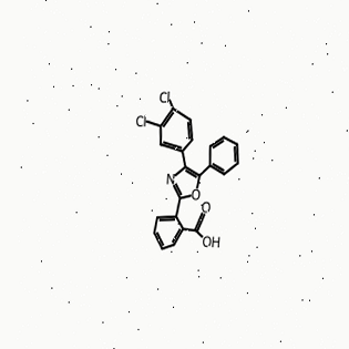 O=C(O)c1ccccc1-c1nc(-c2ccc(Cl)c(Cl)c2)c(-c2ccccc2)o1